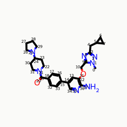 Cn1nc(CC2CC2)nc1COc1cc(-c2ccc(C(=O)N3CCC(N4CCCC4)CC3)cc2)cnc1N